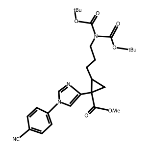 COC(=O)C1(c2cn(-c3ccc(C#N)cc3)cn2)CC1CCCN(C(=O)OC(C)(C)C)C(=O)OC(C)(C)C